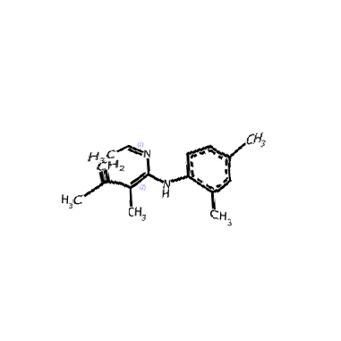 C=C(C)/C(C)=C(\N=C/C)Nc1ccc(C)cc1C